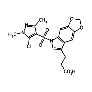 Cc1nn(C)c(Cl)c1S(=O)(=O)n1cc(CCC(=O)O)c2cc3c(cc21)OCO3